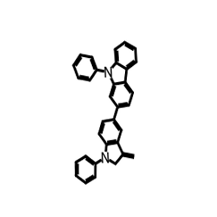 C=C1CN(c2ccccc2)c2ccc(-c3ccc4c5ccccc5n(-c5ccccc5)c4c3)cc21